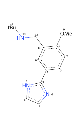 COc1ccc(-c2ncc[nH]2)cc1CNC(C)(C)C